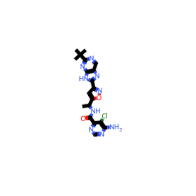 CC(NC(=O)c1ncnc(N)c1Cl)c1cc(-c2nc3cnc(C(C)(C)C)nc3[nH]2)no1